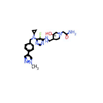 Cn1cc(-c2ccc(CN(c3ncnc(NCC4CCN(CC(N)=O)C[C@@H]4O)c3F)C3CC3)cc2)cn1